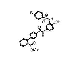 COC(=O)c1ccccc1-c1ccc(C(=O)Nc2ccc(O)c(NS(=O)(=O)c3ccc(F)cc3)c2)cc1